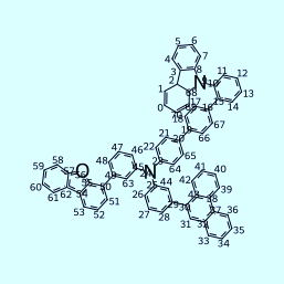 C1=CC2c3ccccc3N(c3ccccc3-c3ccc(-c4ccc(N(c5cccc(-c6cc7ccccc7c7ccccc67)c5)c5cccc(-c6cccc7c6oc6ccccc67)c5)cc4)cc3)C2C=C1